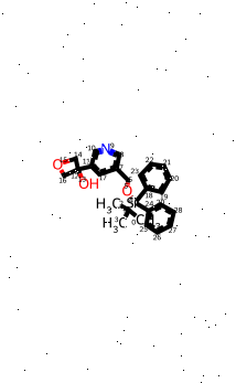 CC(C)(C)[Si](OCc1cncc(C2(O)COC2)c1)(c1ccccc1)c1ccccc1